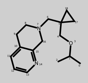 CC(C)OCC1(CN2CCc3cccnc3C2)CC1